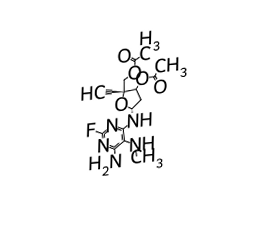 C#C[C@]1(COC(C)=O)O[C@@H](Nc2nc(F)nc(N)c2NC)CC1OC(C)=O